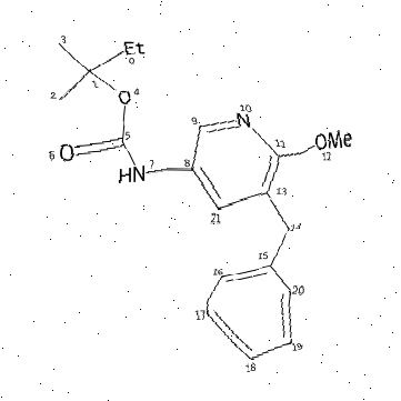 CCC(C)(C)OC(=O)Nc1cnc(OC)c(Cc2ccccc2)c1